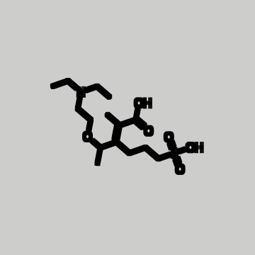 CCN(CC)CCOC(C)C(CCCS(=O)(=O)O)=C(C)C(=O)O